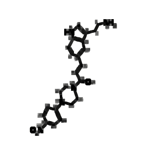 NCCc1c[nH]c2ccc(C=CC(=O)N3CCN(c4ccc([N+](=O)[O-])cc4)CC3)cc12